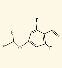 C=Cc1c(F)cc(OC(F)F)cc1F